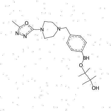 Cc1nnc(N2CCN(Cc3ccc(BOC(C)(C)C(C)(C)O)cc3)CC2)o1